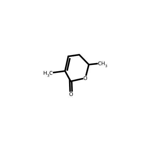 CC1=CCC(C)OC1=O